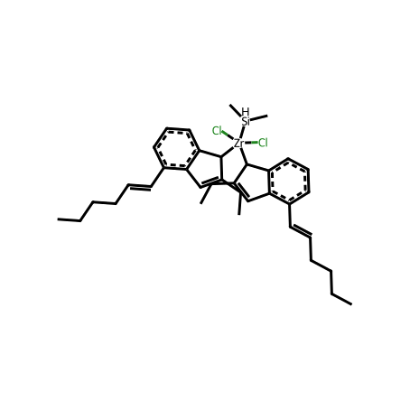 CCCCC=Cc1cccc2c1C=C(CC)[CH]2[Zr]([Cl])([Cl])([CH]1C(CC)=Cc2c(C=CCCCC)cccc21)[SiH](C)C